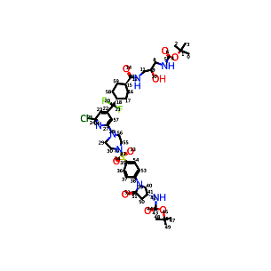 CC(C)(C)OC(=O)NCC(O)CNC(=O)[C@H]1CC[C@H](C(F)(F)c2cc(Cl)nc(N3CCN(S(=O)(=O)c4ccc(N5C[C@H](NC(=O)OC(C)(C)C)CC5=O)cc4)CC3)c2)CC1